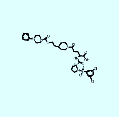 O=C(O)C(CCC(=O)N1CCC(CCOC(=O)N2CCN(c3ccccc3)CC2)CC1)NC(=O)[C@@H]1CCCN1S(=O)(=O)c1cc(Cl)cc(Cl)c1